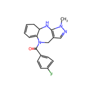 Cn1ncc2c1NC1CC=CC=C1N(C(=O)c1ccc(F)cc1)C2